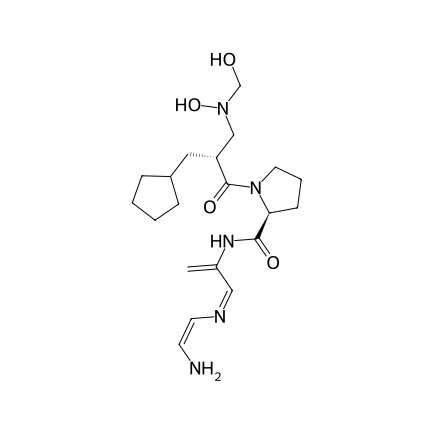 C=C(/C=N\C=C/N)NC(=O)[C@@H]1CCCN1C(=O)[C@H](CC1CCCC1)CN(O)CO